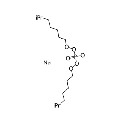 CC(C)CCCCCOOP(=O)([O-])OOCCCCCC(C)C.[Na+]